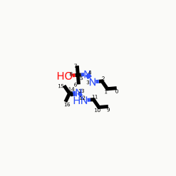 CCCN=NC(C)(C)O.CCCNN=C(C)C